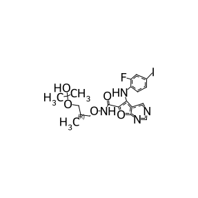 C[C@@H](CONC(=O)c1oc2ncncc2c1Nc1ccc(I)cc1F)COC(C)(C)O